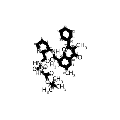 Cc1cc([C@@H](C)Nc2cccnc2C(=O)NS(=O)(=O)NC(=O)OC(C)(C)C)c2oc(-c3ccccc3)c(C)c(=O)c2c1